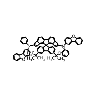 CC(C)(C)c1ccc2c(c1)-c1cc(C(C)(C)C)ccc1C21c2c(ccc3cc(N(c4ccccc4)c4ccc5oc6ccccc6c5c4)ccc23)-c2ccc3cc(N(c4ccccc4)c4ccc5oc6ccccc6c5c4)ccc3c21